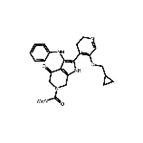 CNC(=O)N1CC(=O)c2c([nH]c(C3=C(OCC4CC4)C=NCC3)c2NC2=C=C=CC=C2)C1